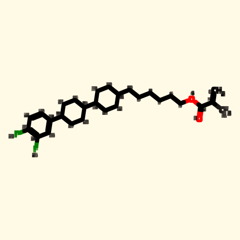 C=C(C(=O)OCCCCCCC1CCC(C2CCC(c3ccc(F)c(F)c3)CC2)CC1)C(F)(F)F